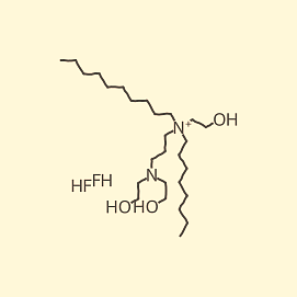 CCCCCCCCCC[N+](CCO)(CCCCCCCC)CCCN(CCO)CCO.F.F